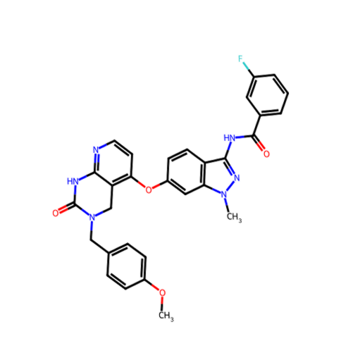 COc1ccc(CN2Cc3c(Oc4ccc5c(NC(=O)c6cccc(F)c6)nn(C)c5c4)ccnc3NC2=O)cc1